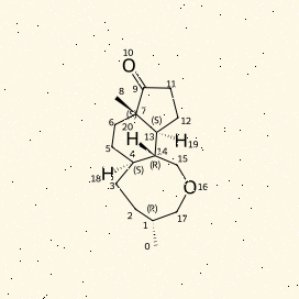 C[C@@H]1CC[C@H]2CC[C@]3(C)C(=O)CC[C@H]3[C@@H]2COC1